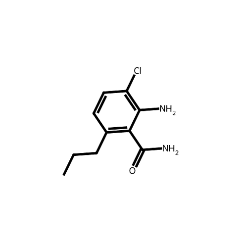 CCCc1ccc(Cl)c(N)c1C(N)=O